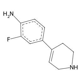 Nc1ccc(C2=CCNCC2)cc1F